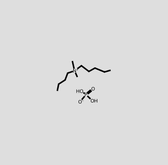 CCCCC[N+](C)(C)CCCC.O=P([O-])(O)O